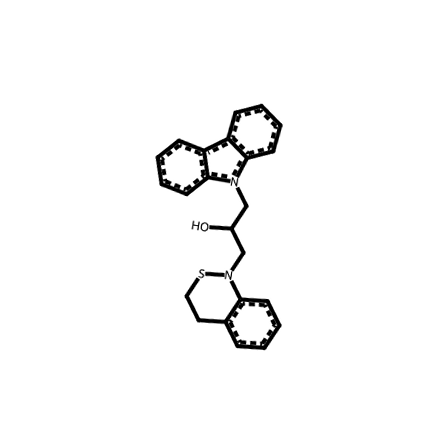 OC(CN1SCCc2ccccc21)Cn1c2ccccc2c2ccccc21